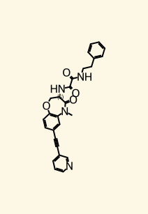 CN1C(=O)[C@@H](NC(=O)C(=O)NCCc2ccccc2)COc2ccc(C#Cc3cccnc3)cc21